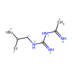 CCCCC(CC)CNC(=N)NC(C)=N